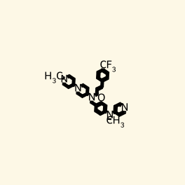 CN1CCC(N2CCC(N(Cc3ccc(N(C)c4ccncc4)cc3)C(=O)/C=C/c3ccc(C(F)(F)F)cc3)CC2)CC1